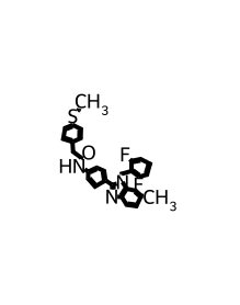 CCSc1ccc(CC(=O)Nc2ccc(-c3nc4ccc(C)cc4n3Cc3c(F)cccc3F)cc2)cc1